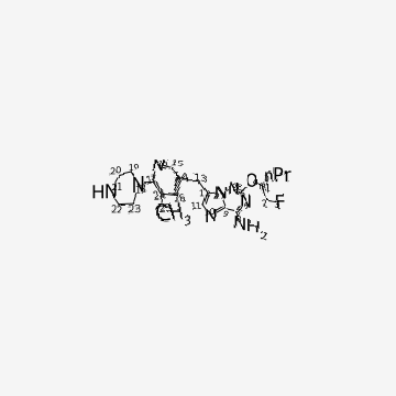 CCC[C@H](CF)Oc1nc(N)c2ncc(Cc3cnc(N4CCNCC4)c(C)c3)n2n1